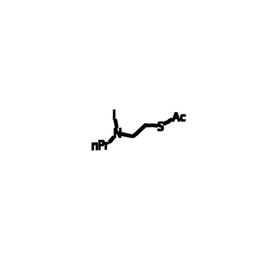 CCCN(I)CCSC(C)=O